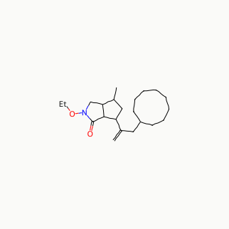 C=C(CC1CCCCCCCC1)C1CC(C)C2CN(OCC)C(=O)C12